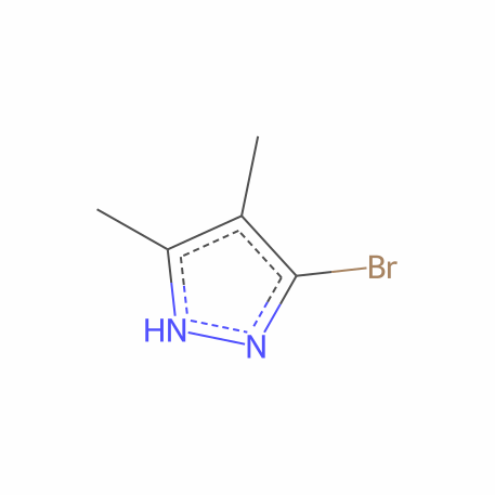 Cc1[nH]nc(Br)c1C